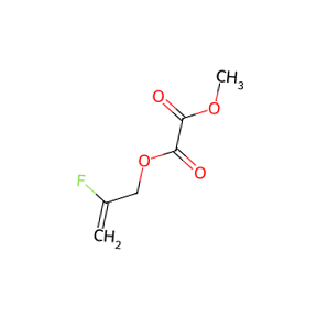 C=C(F)COC(=O)C(=O)OC